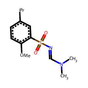 COc1ccc(C(C)C)cc1S(=O)(=O)N=CN(C)C